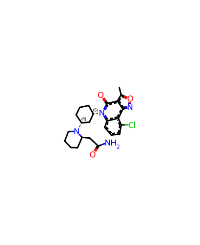 Cc1onc2c1c(=O)n([C@H]1CCC[C@@H](N3CCCCC3CC(N)=O)C1)c1cccc(Cl)c21